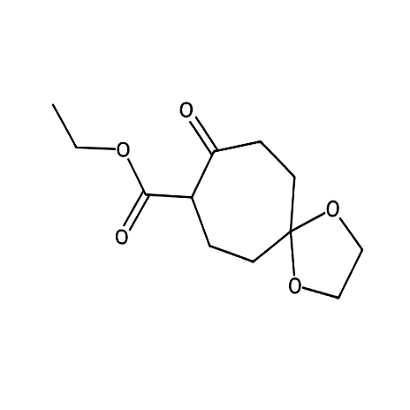 CCOC(=O)C1CCC2(CCC1=O)OCCO2